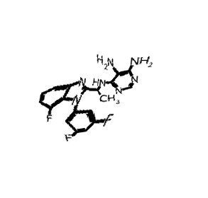 C[C@H](Nc1ncnc(N)c1N)c1nc2cccc(F)c2n1-c1cc(F)cc(F)c1